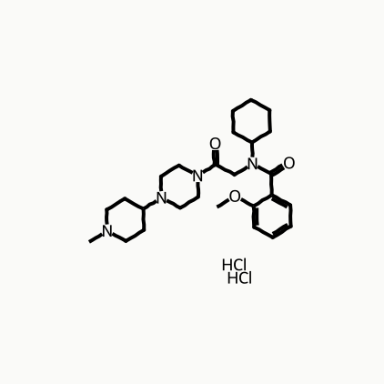 COc1ccccc1C(=O)N(CC(=O)N1CCN(C2CCN(C)CC2)CC1)C1CCCCC1.Cl.Cl